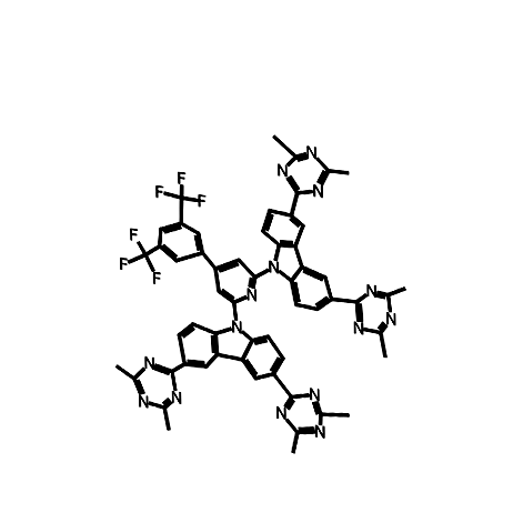 Cc1nc(C)nc(-c2ccc3c(c2)c2cc(-c4nc(C)nc(C)n4)ccc2n3-c2cc(-c3cc(C(F)(F)F)cc(C(F)(F)F)c3)cc(-n3c4ccc(-c5nc(C)nc(C)n5)cc4c4cc(-c5nc(C)nc(C)n5)ccc43)n2)n1